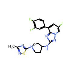 Cc1nsc(N2CCC(Nc3nc4c(-c5ccc(F)c(F)c5)cc(F)cn4n3)CC2)n1